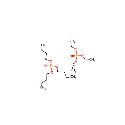 CCCCOP(=O)(OCCCC)OCCCC.CCOP(=O)(OCC)OCC